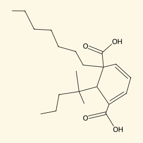 CCCCCCCC1(C(=O)O)C=CC=C(C(=O)O)C1C(C)(C)CCC